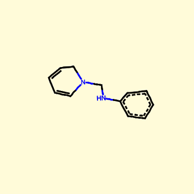 C1=CCN(CNc2ccccc2)C=C1